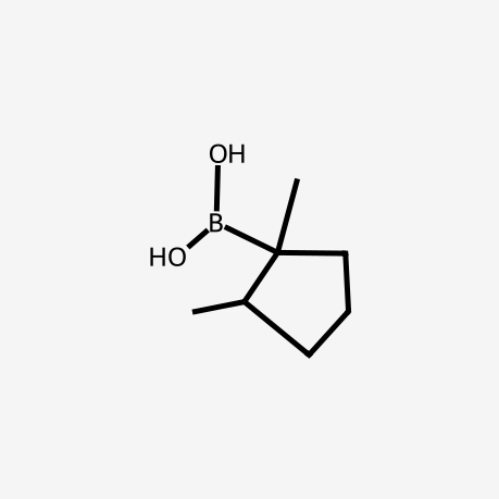 CC1CCCC1(C)B(O)O